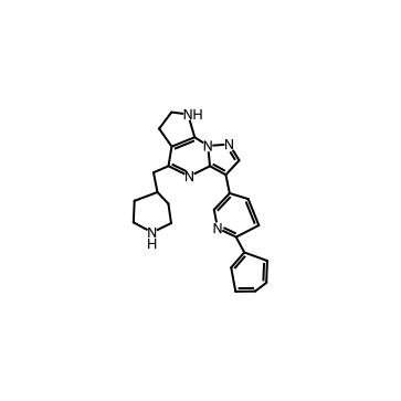 c1ccc(-c2ccc(-c3cnn4c5c(c(CC6CCNCC6)nc34)CCN5)cn2)cc1